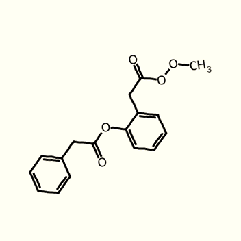 COOC(=O)Cc1ccccc1OC(=O)Cc1ccccc1